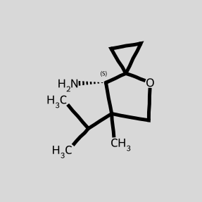 CC(C)C1(C)COC2(CC2)[C@H]1N